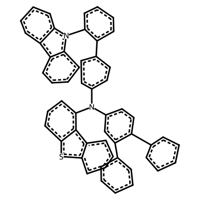 c1ccc(-c2ccc(N(c3ccc(-c4ccccc4-n4c5ccccc5c5ccccc54)cc3)c3cccc4sc5ccccc5c34)cc2-c2ccccc2)cc1